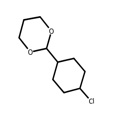 ClC1CCC(C2OCCCO2)CC1